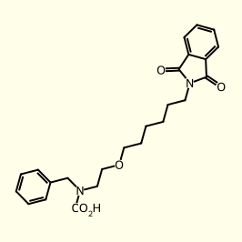 O=C(O)N(CCOCCCCCCN1C(=O)c2ccccc2C1=O)Cc1ccccc1